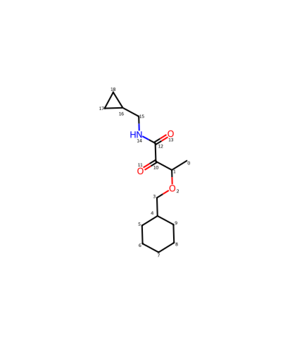 CC(OCC1CCCCC1)C(=O)C(=O)NCC1CC1